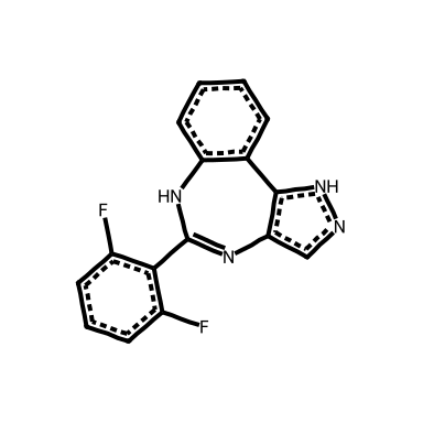 Fc1cccc(F)c1C1=Nc2cn[nH]c2-c2ccccc2N1